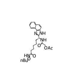 CCCCONC(=O)CCCCC[C@H](NC(=O)COC(C)=O)c1nc2c(ccc3ccccc32)[nH]1